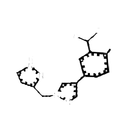 Fc1ccc(-c2cnn(Cc3cc[nH]n3)c2)cc1C(F)F